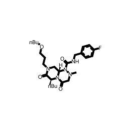 CCCCOCCCN1C[C@H]2N(C(=O)CN(C)N2C(=O)NCc2ccc(F)cc2)[C@@H](CCCC)C1=O